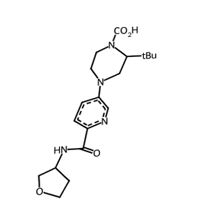 CC(C)(C)C1CN(c2ccc(C(=O)NC3CCOC3)nc2)CCN1C(=O)O